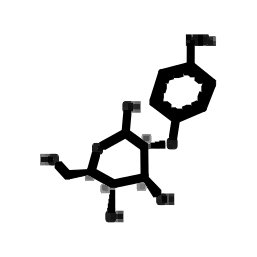 CC(=O)Nc1ccc(O[C@H]2C(O)O[C@H](CO)[C@@H](O)[C@@H]2O)cc1